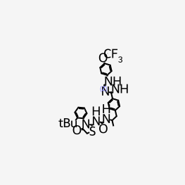 CC(Cc1ccc(C(=N)/N=C\Nc2ccc(OC(F)(F)F)cc2)cc1)NC(=O)NC1SCC(=O)N1c1ccccc1C(C)(C)C